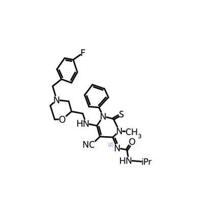 CC(C)NC(=O)/N=c1/c(C#N)c(NCC2CN(Cc3ccc(F)cc3)CCO2)n(-c2ccccc2)c(=S)n1C